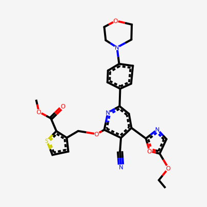 CCOc1cnc(-c2cc(-c3ccc(N4CCOCC4)cc3)nc(OCc3ccsc3C(=O)OC)c2C#N)o1